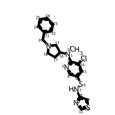 CN(c1ncc(SNc2cscn2)cc1Cl)C1CCN(Cc2ccccc2)C1